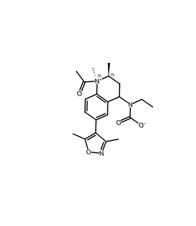 CCN(C(=O)[O-])C1C[C@H](C)[N@+](C)(C(C)=O)c2ccc(-c3c(C)noc3C)cc21